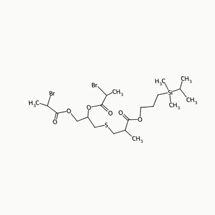 CC(Br)C(=O)OCC(CSCC(C)C(=O)OCCC[Si](C)(C)C(C)C)OC(=O)C(C)Br